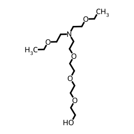 CCOCCN(CCOCC)CCOCCOCCOCCO